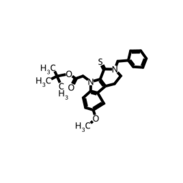 COc1ccc2c(c1)c1c(n2CC(=O)OC(C)(C)C)C(=S)N(Cc2ccccc2)CC1